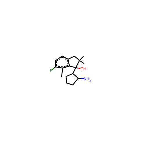 Cc1c(F)ccc2c1C(O)(C1CCCC1N)C(C)(C)C2